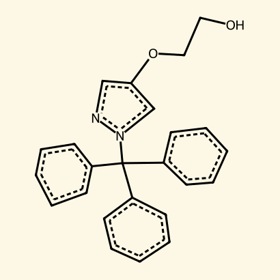 OCCOc1cnn(C(c2ccccc2)(c2ccccc2)c2ccccc2)c1